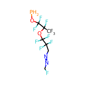 FCN=NCC(F)(F)C(F)(F)OC(F)(C(F)(F)F)C(F)(F)OP